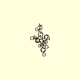 COc1ccc(S(=O)(=O)N2C(=O)C(c3cccnc3OC)(N3CCN(C(=O)OC(C)(C)C)CC3C(=O)N(C)C)c3cc(Cl)ccc32)c(OC)c1